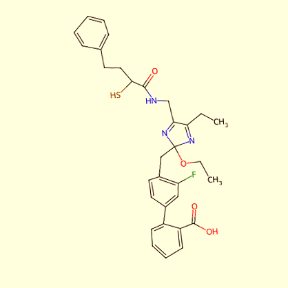 CCOC1(Cc2ccc(-c3ccccc3C(=O)O)cc2F)N=C(CC)C(CNC(=O)C(S)CCc2ccccc2)=N1